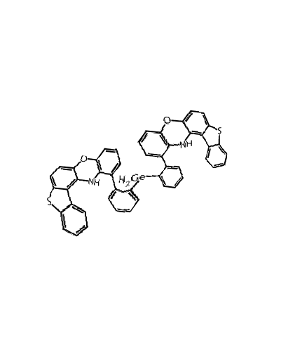 c1ccc(-c2cccc3c2Nc2c(ccc4sc5ccccc5c24)O3)[c]([GeH2][c]2ccccc2-c2cccc3c2Nc2c(ccc4sc5ccccc5c24)O3)c1